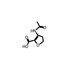 CC(=O)NC1=C(C(=O)O)OCC1